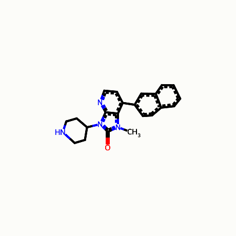 Cn1c(=O)n(C2CCNCC2)c2nccc(-c3ccc4ccccc4c3)c21